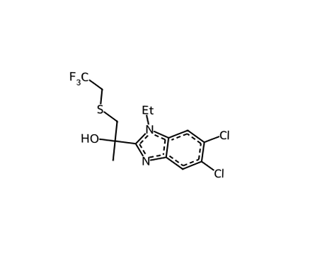 CCn1c(C(C)(O)CSCC(F)(F)F)nc2cc(Cl)c(Cl)cc21